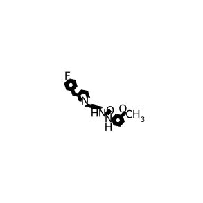 CC(=O)c1cccc(NC(=O)NCC#CCN2CCCC(Cc3ccc(F)cc3)C2)c1